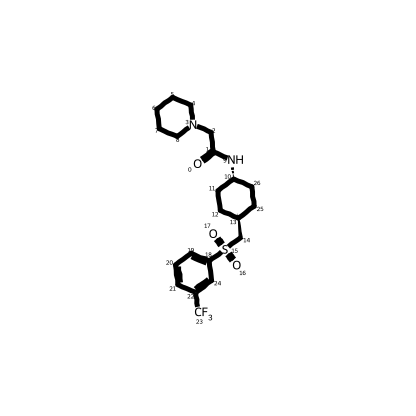 O=C(CN1CCCCC1)N[C@H]1CC[C@H](CS(=O)(=O)c2cccc(C(F)(F)F)c2)CC1